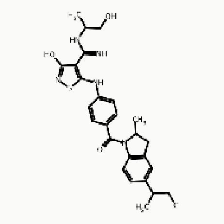 CC(CO)NC(=N)c1c(O)nsc1Nc1ccc(C(=O)N2c3ccc(C(C)CCl)cc3CC2C)cc1